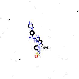 COCc1cc2cnc(Nc3ccc(N4CCN(C)CC4)cc3)nc2n1-c1cccc(N=S(C)(C)=O)n1